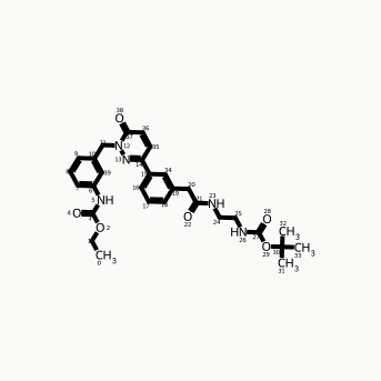 CCOC(=O)Nc1cccc(Cn2nc(-c3cccc(CC(=O)NCCNC(=O)OC(C)(C)C)c3)ccc2=O)c1